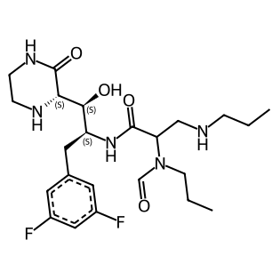 CCCNCC(C(=O)N[C@@H](Cc1cc(F)cc(F)c1)[C@H](O)[C@@H]1NCCNC1=O)N(C=O)CCC